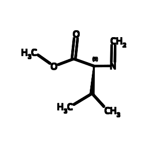 C=N[C@H](C(=O)OC)C(C)C